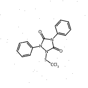 O=c1n(-c2ccccc2)c(=O)n(-c2ccccc2)n1SC(Cl)(Cl)Cl